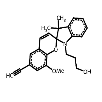 C#Cc1cc2c(c(OC)c1)OC1(C=C2)N(CCCO)c2ccccc2C1(C)C